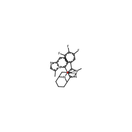 Cc1cnc2cccc(C(=O)N3C4CCCC3c3nn(C)c(-c5cc(F)c(F)c(F)c5)c3C4)n12